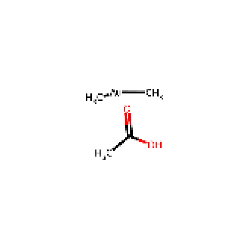 CC(=O)O.[CH3][Au][CH3]